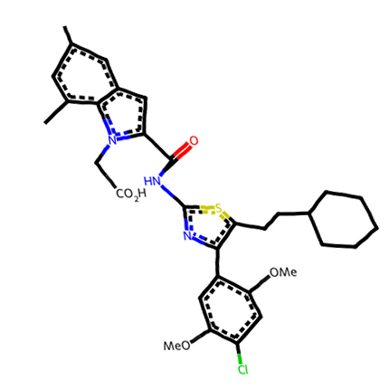 COc1cc(-c2nc(NC(=O)c3cc4cc(C)cc(C)c4n3CC(=O)O)sc2CCC2CCCCC2)c(OC)cc1Cl